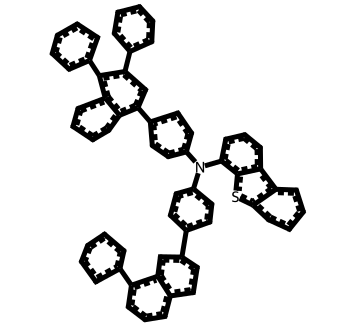 c1ccc(-c2cc(-c3ccc(N(c4ccc(-c5ccc6cccc(-c7ccccc7)c6c5)cc4)c4cccc5c4sc4ccccc45)cc3)c3ccccc3c2-c2ccccc2)cc1